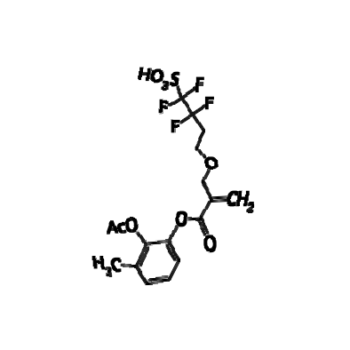 C=C(COCCC(F)(F)C(F)(F)S(=O)(=O)O)C(=O)Oc1cccc(C)c1OC(C)=O